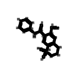 COc1cc2c(cc1C(=O)Nc1ccncc1)S(=O)(=O)CCC2